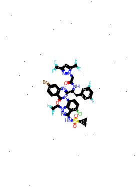 O=C(Cn1nc(C(F)F)cc1C(F)F)N[C@@H](Cc1cc(F)cc(F)c1)c1nc2cc(Br)ccc2c(=O)n1-c1ccc(Cl)c2c(NS(=O)(=O)C3CC3)nn(CC(F)F)c12